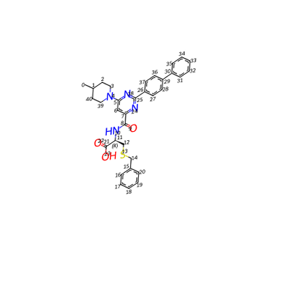 CC1CCN(c2cc(C(=O)N[C@@H](CSCc3ccccc3)C(=O)O)nc(-c3ccc(-c4ccccc4)cc3)n2)CC1